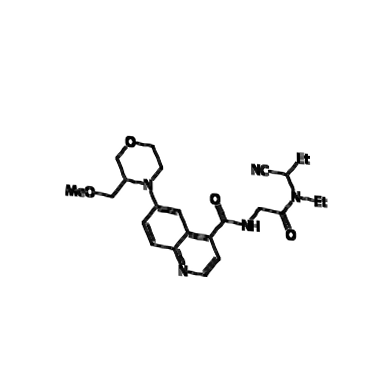 CCC(C#N)N(CC)C(=O)CNC(=O)c1ccnc2ccc(N3CCOCC3COC)cc12